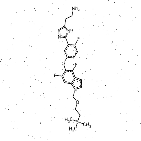 C[Si](C)(C)CCOCn1ccc2c(F)c(Oc3ccc(F)c(-c4ncc(CCN)[nH]4)c3)c(F)cc21